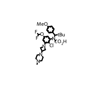 COc1ccc(C(N(C(=O)O)c2cc(OC(F)F)cc(N3CC(N4CCN(C)CC4)C3)c2Cl)C(C)(C)C)cc1